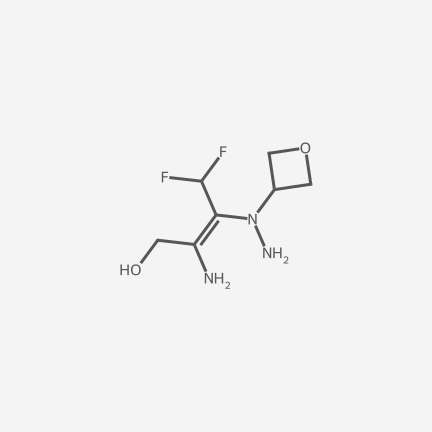 N/C(CO)=C(/C(F)F)N(N)C1COC1